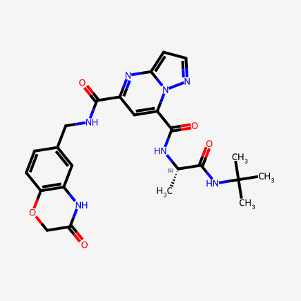 C[C@H](NC(=O)c1cc(C(=O)NCc2ccc3c(c2)NC(=O)CO3)nc2ccnn12)C(=O)NC(C)(C)C